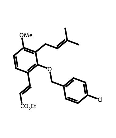 CCOC(=O)/C=C/c1ccc(OC)c(CC=C(C)C)c1OCc1ccc(Cl)cc1